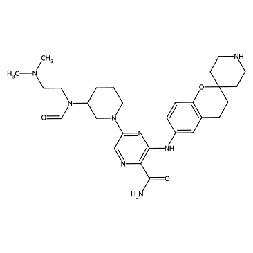 CN(C)CCN(C=O)C1CCCN(c2cnc(C(N)=O)c(Nc3ccc4c(c3)CCC3(CCNCC3)O4)n2)C1